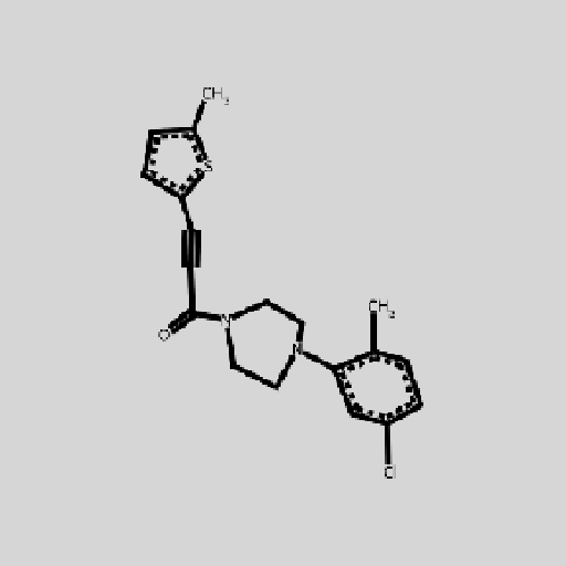 Cc1ccc(C#CC(=O)N2CCN(c3cc(Cl)ccc3C)CC2)s1